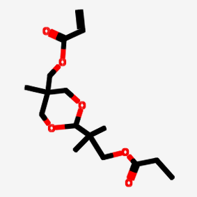 C=CC(=O)OCC1(C)COC(C(C)(C)COC(=O)CC)OC1